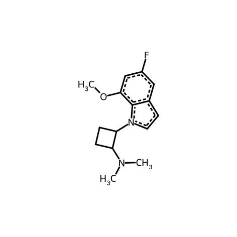 COc1cc(F)cc2ccn(C3CCC3N(C)C)c12